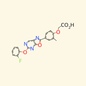 Cc1cc(-c2nc3cnc(Oc4ccccc4F)nc3o2)ccc1OCC(=O)O